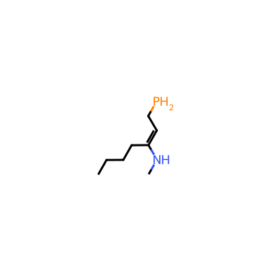 CCCC/C(=C\CP)NC